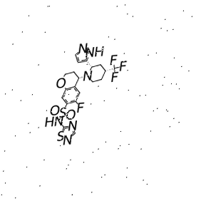 O=S(=O)(Nc1ncns1)c1cc2c(cc1F)[C@@H](N1CC[C@@H](C(F)(F)F)C[C@H]1c1ccn[nH]1)CCO2